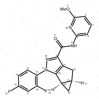 COc1cccc(NC(=O)c2nn(-c3ccc(F)cc3F)c3c2C[C@H]2C[C@@H]32)n1